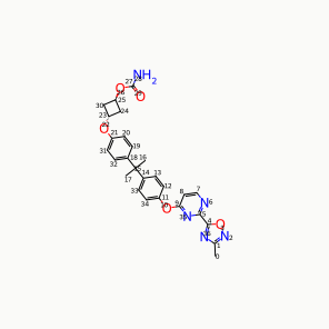 Cc1noc(-c2nccc(Oc3ccc(C(C)(C)c4ccc(O[C@H]5C[C@H](OC(N)=O)C5)cc4)cc3)n2)n1